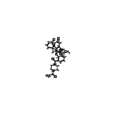 CC(=O)N1CCN(C(=O)c2cccc(C(C)C)c2OC2(Cc3cccc(Cl)c3)C(=O)Nc3cc(Cl)ccc32)CC1